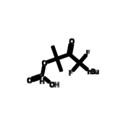 CCCCC(F)(F)C(=O)C(C)(C)O[PH](=O)O